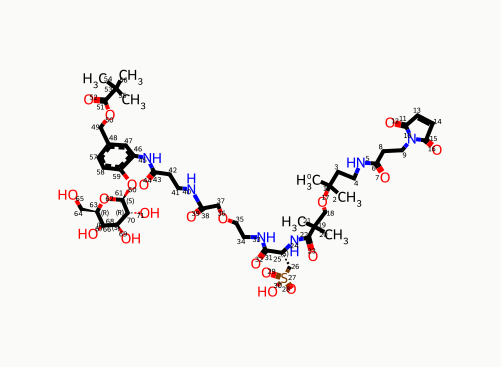 CC(C)(CCNC(=O)CCN1C(=O)C=CC1=O)OCC(C)(C)C(=O)N[C@H](CS(=O)(=O)O)C(=O)NCCOCC(=O)NCCC(=O)Nc1cc(COC(=O)C(C)(C)C)ccc1O[C@@H]1O[C@H](CO)[C@H](O)[C@H](O)[C@H]1O